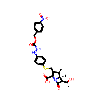 C[C@@H]1C(CSc2ccc(NNC(=O)OCc3ccc([N+](=O)[O-])cc3)cc2)=C(C(=O)O)N2C(=O)C([C@@H](C)O)[C@H]12